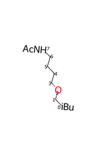 CCC(C)COCCCCNC(C)=O